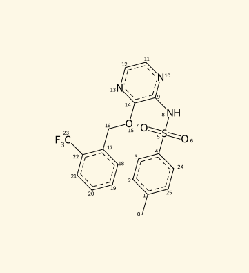 Cc1ccc(S(=O)(=O)Nc2nccnc2OCc2ccccc2C(F)(F)F)cc1